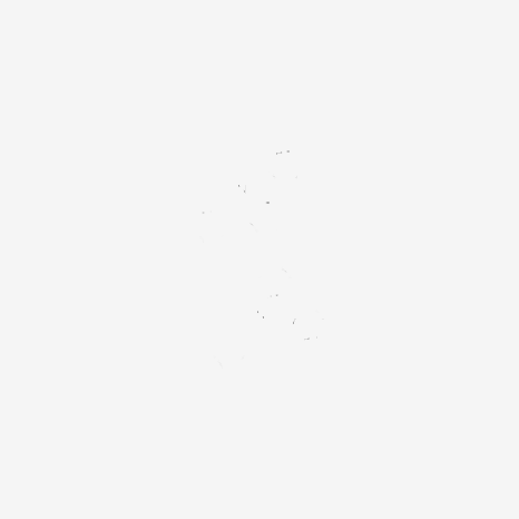 c1ccc(CN(Cc2ccccc2)c2ccc(Cc3ccc(N(Cc4ccccc4)Cc4ccccc4)cc3)cc2)cc1